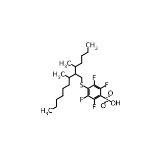 CCCCCCC(C)C(CSc1c(F)c(F)c(S(=O)(=O)O)c(F)c1F)C(C)CCCC